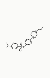 CCCN1CCN(c2ccc(OS(=O)(=O)c3ccc(C(C)C)cc3)cn2)CC1